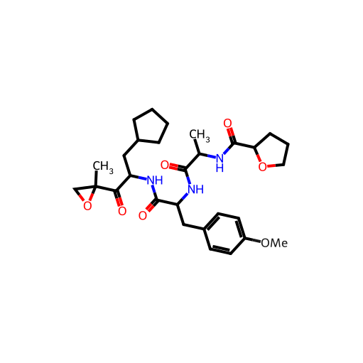 COc1ccc(CC(NC(=O)C(C)NC(=O)C2CCCO2)C(=O)NC(CC2CCCC2)C(=O)C2(C)CO2)cc1